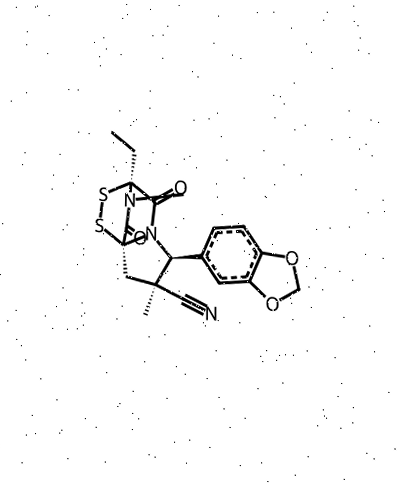 CC[C@]12SS[C@@]3(C[C@](C)(C#N)[C@H](c4ccc5c(c4)OCO5)N3C1=O)C(=O)N2C